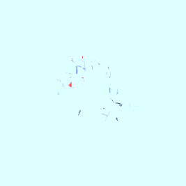 CC1(C)CCC(CN2CC3CN(C(=O)c4ccc5c(c4)CN(C4CCC(=O)NC4=O)C5=O)CC3C2)=C(c2ccc(F)cc2)C1